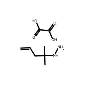 C=CCC(C)(C)NN.O=C(O)C(=O)O